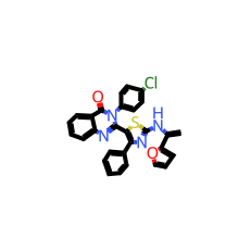 C=C(Nc1nc(-c2ccccc2)c(-c2nc3ccccc3c(=O)n2-c2ccc(Cl)cc2)s1)c1ccco1